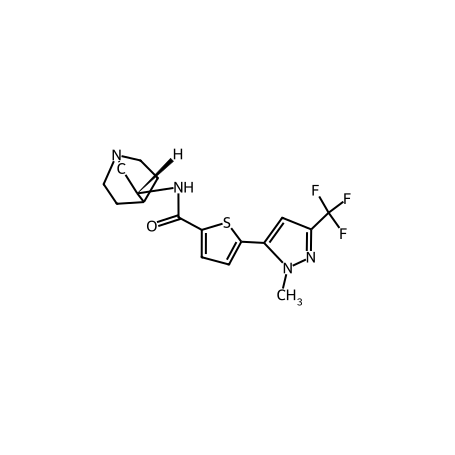 Cn1nc(C(F)(F)F)cc1-c1ccc(C(=O)N[C@H]2CN3CCC2CC3)s1